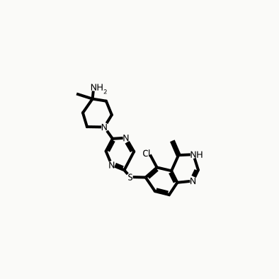 C=C1NC=Nc2ccc(Sc3cnc(N4CCC(C)(N)CC4)cn3)c(Cl)c21